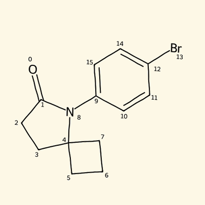 O=C1CCC2(CCC2)N1c1ccc(Br)cc1